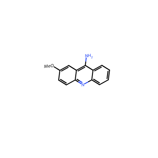 COc1ccc2nc3ccccc3c(N)c2c1